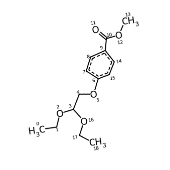 CCOC(COc1ccc(C(=O)OC)cc1)OCC